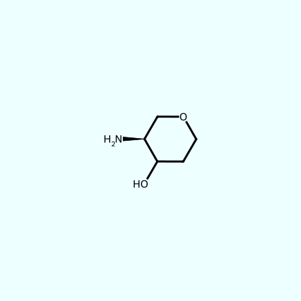 N[C@H]1COCCC1O